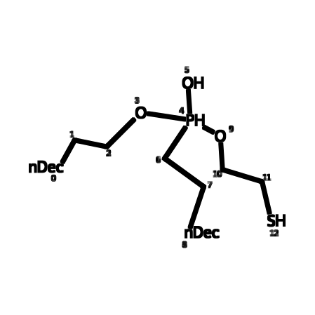 CCCCCCCCCCCCO[PH](O)(CCCCCCCCCCCC)OCCS